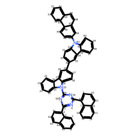 c1ccc2c(-c3nc(-c4cccc5ccccc45)nc(-n4c5ccccc5c5cc(-c6ccc7c(c6)c6ccccc6n7-c6ccc7c(ccc8ccccc87)c6)ccc54)n3)cccc2c1